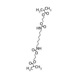 C=C(C)C(=O)OCCCOC(=O)NCCCCCCCCNC(=O)OCCCOC(=O)C(=C)C